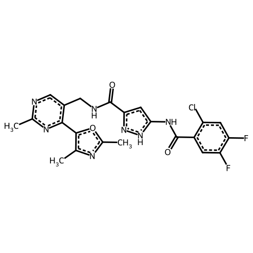 Cc1ncc(CNC(=O)c2cc(NC(=O)c3cc(F)c(F)cc3Cl)[nH]n2)c(-c2oc(C)nc2C)n1